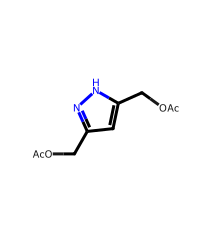 CC(=O)OCc1cc(COC(C)=O)[nH]n1